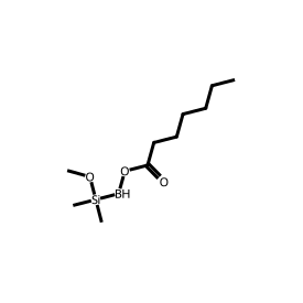 CCCCCCC(=O)OB[Si](C)(C)OC